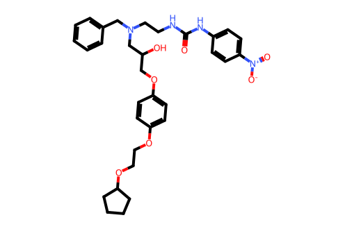 O=C(NCCN(Cc1ccccc1)CC(O)COc1ccc(OCCOC2CCCC2)cc1)Nc1ccc([N+](=O)[O-])cc1